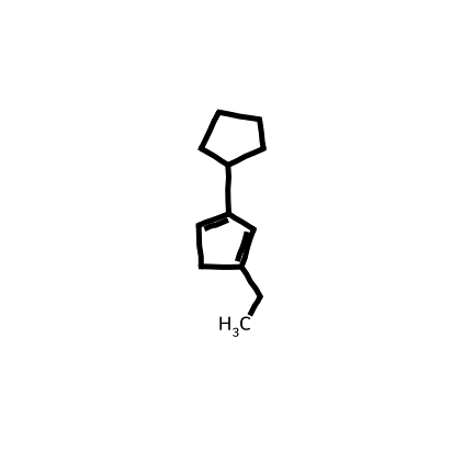 CCC1=CC(C2CCCC2)=CC1